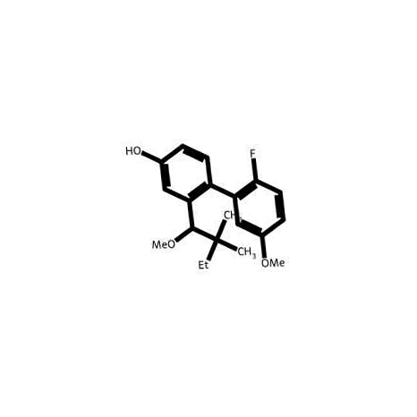 CCC(C)(C)C(OC)c1cc(O)ccc1-c1cc(OC)ccc1F